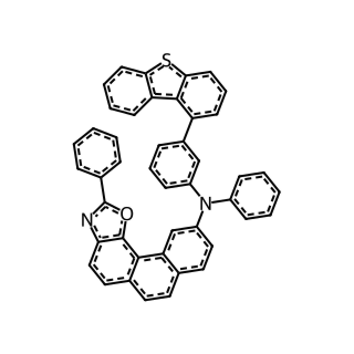 c1ccc(-c2nc3ccc4ccc5ccc(N(c6ccccc6)c6cccc(-c7cccc8sc9ccccc9c78)c6)cc5c4c3o2)cc1